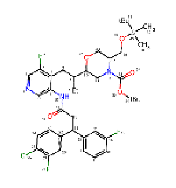 CCC(Cc1c(F)cncc1NC(=O)CC(c1cccc(F)c1)c1ccc(Cl)c(F)c1)C1CN(C(=O)OC(C)(C)C)C(CO[Si](C)(C)C(C)(C)C)CO1